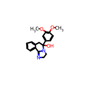 COc1ccc(C2(O)Cc3ccccc3C3=NCCN32)cc1OC